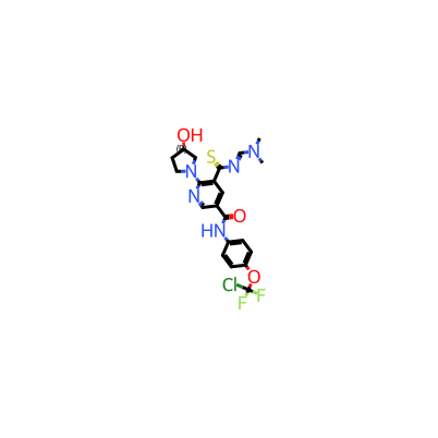 CN(C)C=NC(=S)c1cc(C(=O)Nc2ccc(OC(F)(F)Cl)cc2)cnc1N1CC[C@@H](O)C1